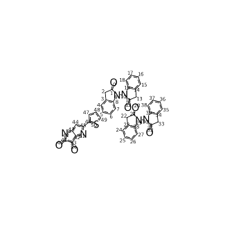 O=C1Cc2ccccc2N1N1C(=O)Cc2ccccc21.O=C1Cc2ccccc2N1N1C(=O)Cc2ccccc21.O=c1nc2cc(-c3cccs3)nc-2c1=O